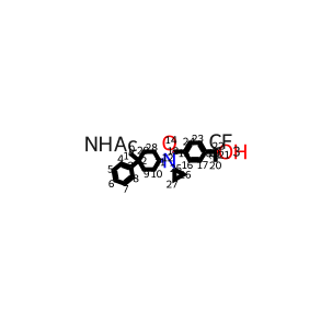 CC(=O)NCC1(c2ccccc2)CCC(N(C(=O)c2ccc([C@](C)(O)C(F)(F)F)cc2)C2CC2)CC1